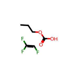 CCCOC(=O)O.FC=C(F)F